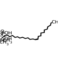 CCCCCCCCCC/C=C\CCCCCCCCCCCC(O)(C[N+](C)(C)C)P(=O)(O)O